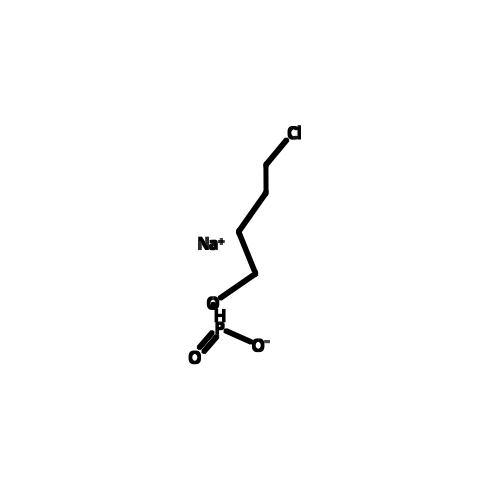 O=[PH]([O-])OCCCCCl.[Na+]